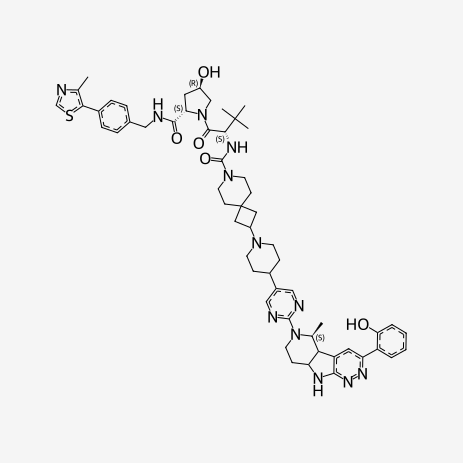 Cc1ncsc1-c1ccc(CNC(=O)[C@@H]2C[C@@H](O)CN2C(=O)[C@@H](NC(=O)N2CCC3(CC2)CC(N2CCC(c4cnc(N5CCC6Nc7nnc(-c8ccccc8O)cc7C6[C@@H]5C)nc4)CC2)C3)C(C)(C)C)cc1